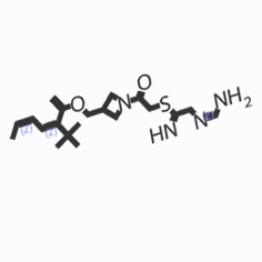 C=C(OCC1CN(C(=O)CSC(=N)C/N=C\N)C1)/C(=C\C=C/C)C(C)(C)C